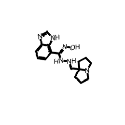 ON=C(NNCC12CCCN1CCC2)c1cccc2nc[nH]c12